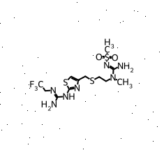 CN(CCSCc1csc(NC(N)=NCC(F)(F)F)n1)C(N)=NS(C)(=O)=O